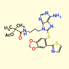 CC(=O)OC(C)(C)C(=O)NCCCn1c(Sc2cc3c(cc2-c2nccs2)OCO3)nc2c(N)ncnc21